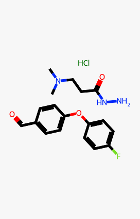 CN(C)CCC(=O)NN.Cl.O=Cc1ccc(Oc2ccc(F)cc2)cc1